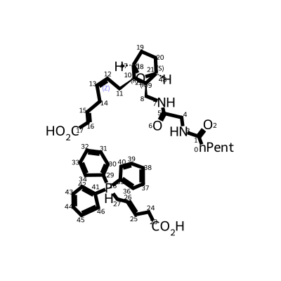 CCCCCC(=O)NCC(=O)NC[C@H]1[C@@H](C/C=C\CC=CC(=O)O)[C@H]2CC[C@@H]1O2.O=C(O)CC=CC[PH](c1ccccc1)(c1ccccc1)c1ccccc1